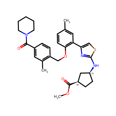 COC(=O)[C@@H]1CC[C@H](Nc2nc(-c3cc(C)ccc3OCc3ccc(C(=O)N4CCCCC4)cc3C)cs2)C1